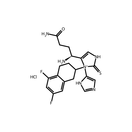 Cl.NC(=O)CC[C@H](N)C1=CNC(=S)[N+]1(c1cnc[nH]1)C1CCc2c(F)cc(F)cc2C1